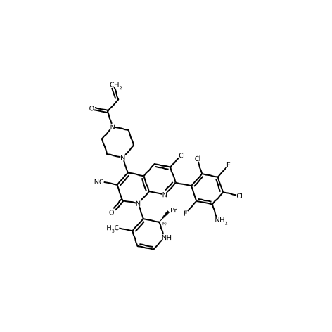 C=CC(=O)N1CCN(c2c(C#N)c(=O)n(C3=C(C)C=CN[C@@H]3C(C)C)c3nc(-c4c(F)c(N)c(Cl)c(F)c4Cl)c(Cl)cc23)CC1